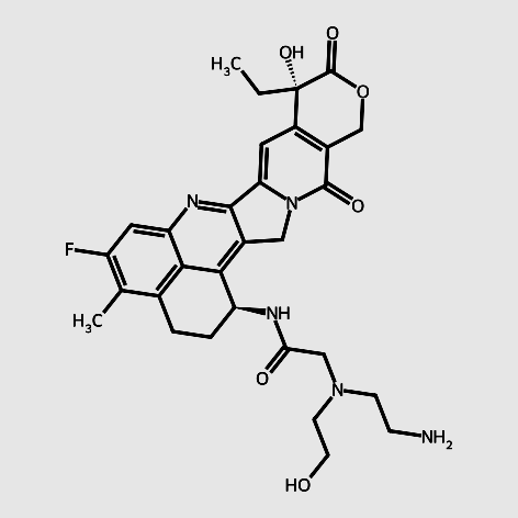 CC[C@@]1(O)C(=O)OCc2c1cc1n(c2=O)Cc2c-1nc1cc(F)c(C)c3c1c2[C@@H](NC(=O)CN(CCN)CCO)CC3